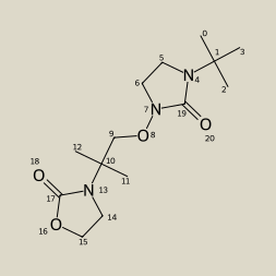 CC(C)(C)N1CCN(OCC(C)(C)N2CCOC2=O)C1=O